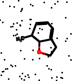 CC1C=CC=C2CCOC21